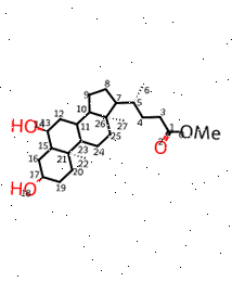 COC(=O)CC[C@@H](C)C1CCC2C3C[C@H](O)C4C[C@H](O)CC[C@]4(C)C3CC[C@@]21C